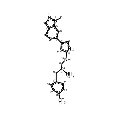 Cn1ncc2ccc(-c3cnc(NC[C@@H](N)Cc4ccc(C(F)(F)F)cc4)s3)cc21